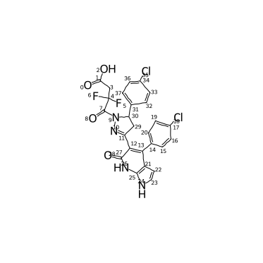 O=C(O)CC(F)(F)C(=O)N1N=C(c2c(-c3ccc(Cl)cc3)c3cc[nH]c3[nH]c2=O)CC1c1ccc(Cl)cc1